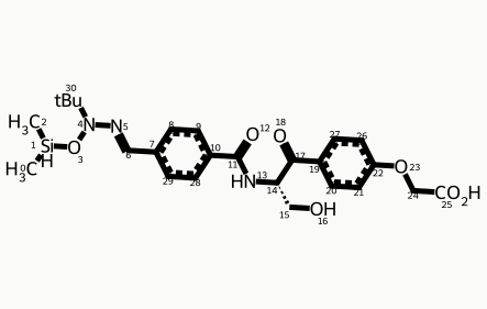 C[SiH](C)ON(/N=C/c1ccc(C(=O)N[C@@H](CO)C(=O)c2ccc(OCC(=O)O)cc2)cc1)C(C)(C)C